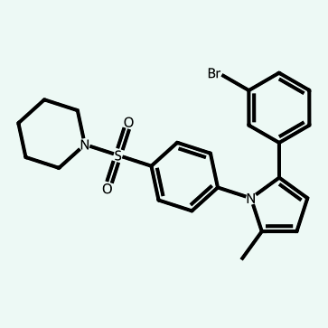 Cc1ccc(-c2cccc(Br)c2)n1-c1ccc(S(=O)(=O)N2CCCCC2)cc1